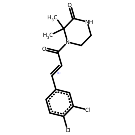 CC1(C)C(=O)NCCN1C(=O)/C=C/c1ccc(Cl)c(Cl)c1